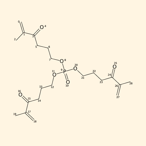 C=C(C)C(=O)CCCOP(=O)(OCCCC(=O)C(=C)C)OCCCC(=O)C(=C)C